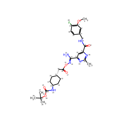 COc1cc(CNC(=O)c2cc(/C(N)=N/OC(=O)C[C@H]3CC[C@H](NC(=O)OC(C)(C)C)CC3)nc(C)n2)ccc1F